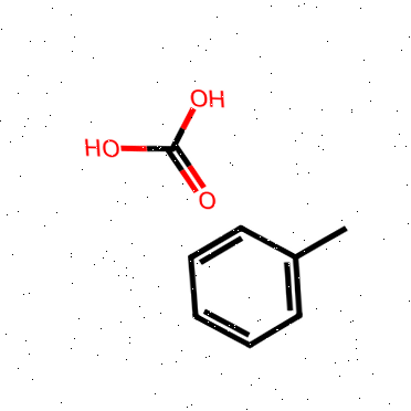 Cc1ccccc1.O=C(O)O